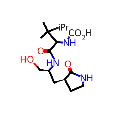 CC(C)C(C)(C)C(NC(=O)O)C(=O)N[C@H](CO)C[C@@H]1CCNC1=O